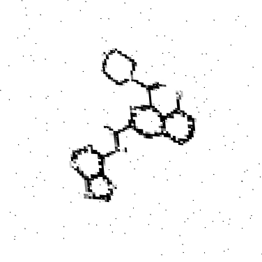 C[C@H](Nc1ncnc2[nH]cnc12)c1cc2cccc(Cl)c2c(C(=O)N2CCOCC2)n1